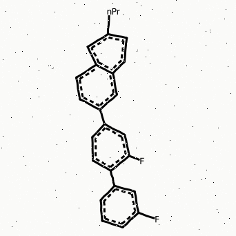 CCCc1ccc2cc(-c3ccc(-c4cccc(F)c4)c(F)c3)ccc2c1